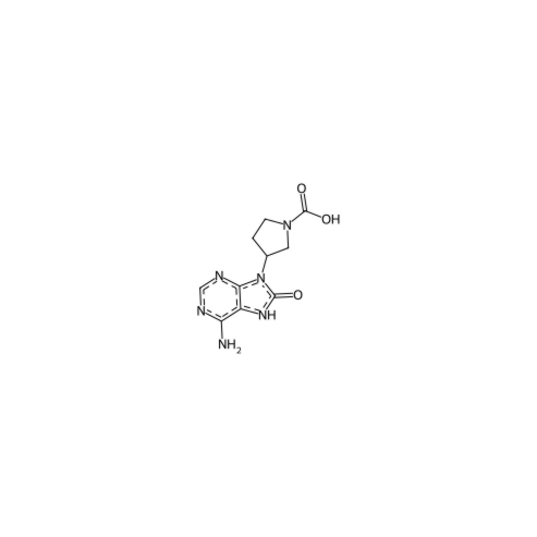 Nc1ncnc2c1[nH]c(=O)n2C1CCN(C(=O)O)C1